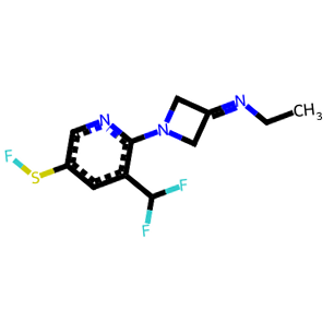 CCN=C1CN(c2ncc(SF)cc2C(F)F)C1